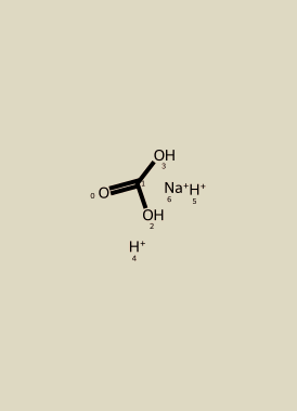 O=C(O)O.[H+].[H+].[Na+]